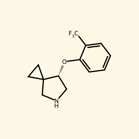 FC(F)(F)c1ccccc1O[C@@H]1CNCC12CC2